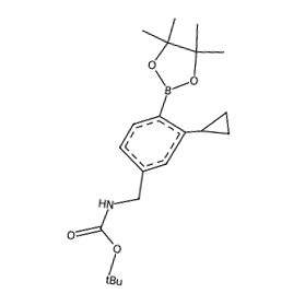 CC(C)(C)OC(=O)NCc1ccc(B2OC(C)(C)C(C)(C)O2)c(C2CC2)c1